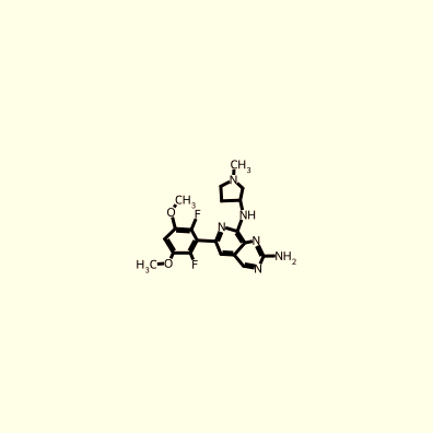 COc1cc(OC)c(F)c(-c2cc3cnc(N)nc3c(NC3CCN(C)C3)n2)c1F